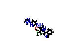 O=C(Nc1ccc(-n2nccn2)nc1)c1cnn(-c2cncc3ccccc23)c1C(F)(F)F